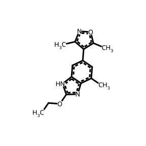 CCOc1nc2c(C)cc(-c3c(C)noc3C)cc2[nH]1